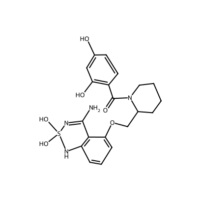 NC1=NS(O)(O)Nc2cccc(OCC3CCCCN3C(=O)c3ccc(O)cc3O)c21